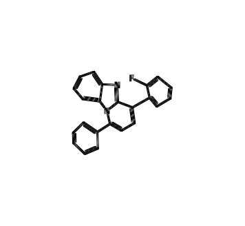 Fc1ccccc1-c1ccc(-c2ccccc2)n2c1nc1ccccc12